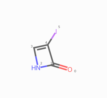 O=C1NC=C1I